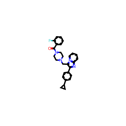 O=C(c1ccccc1F)N1CCN(Cc2c(-c3ccc(C4CC4)cc3)nc3ccccn23)CC1